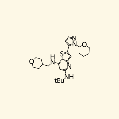 CC(C)(C)Nc1cc(NCC2CCOCC2)c2sc(-c3ccnn3C3CCCCO3)cc2n1